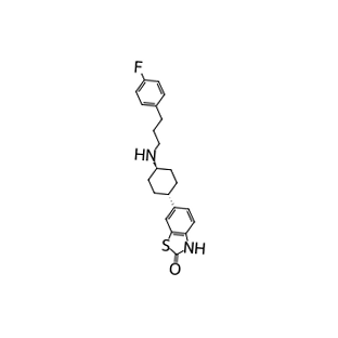 O=c1[nH]c2ccc([C@H]3CC[C@H](NCCCc4ccc(F)cc4)CC3)cc2s1